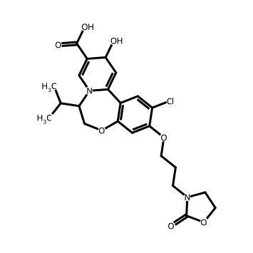 CC(C)C1COc2cc(OCCCN3CCOC3=O)c(Cl)cc2C2=CC(O)C(C(=O)O)=CN21